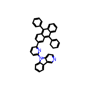 C1=CCCC(c2c3ccccc3c(-c3ccccc3)c3ccc(-c4cccc(-n5c6ccccc6c6cnccc65)n4)cc23)=C1